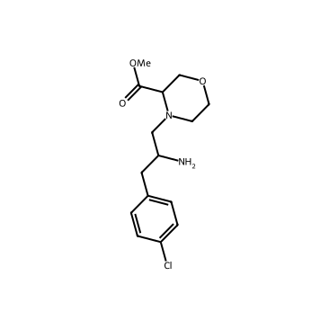 COC(=O)C1COCCN1CC(N)Cc1ccc(Cl)cc1